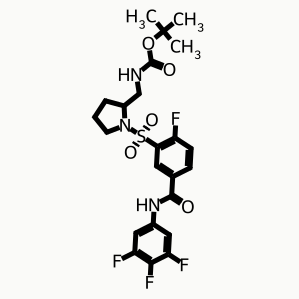 CC(C)(C)OC(=O)NCC1CCCN1S(=O)(=O)c1cc(C(=O)Nc2cc(F)c(F)c(F)c2)ccc1F